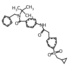 CC(C)(C)N(Cc1ccccc1)C(=O)c1ccc(NC(=O)Cc2ccc(S(=O)(=O)CC3CC3)cc2)cc1